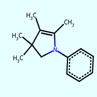 CC1=C(C)C(C)(C)CN1c1ccccc1